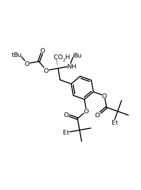 CCC(C)N[C@@](Cc1ccc(OC(=O)C(C)(C)CC)c(OC(=O)C(C)(C)CC)c1)(OC(=O)OC(C)(C)C)C(=O)O